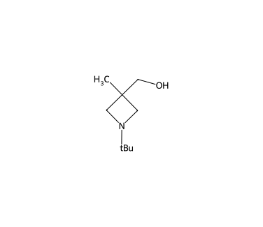 CC1(CO)CN(C(C)(C)C)C1